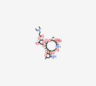 CC[C@H]1OC(=O)[C@H](C)[C@@H](O[C@H]2C[C@@](C)(OC)C(OC(=O)CCN(CC)CC)[C@H](C)O2)[C@H](C)[C@@H](O[C@@H]2O[C@H](C)C[C@H](NC)[C@H]2O)[C@](C)(OC)C[C@@H](C)C(=O)N[C@H](C)[C@@H](O)[C@]1(C)O